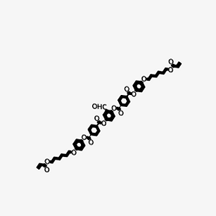 C=CC(=O)OCCCCCCOc1ccc(OC(=O)[C@H]2CC[C@H](C(=O)Oc3ccc(OC(=O)[C@H]4CC[C@H](C(=O)Oc5ccc(OCCCCCCOC(=O)C=C)cc5)CC4)c(C=O)c3)CC2)cc1